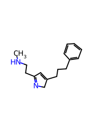 CNCCC1=NCC(CCCc2ccccc2)=C1